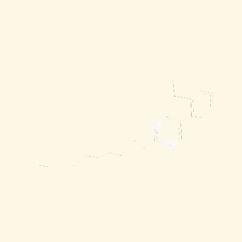 CCCCCCCCCCc1ncc(-c2ccccc2C(O)CC)cn1